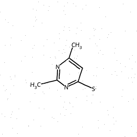 Cc1cc([S])nc(C)n1